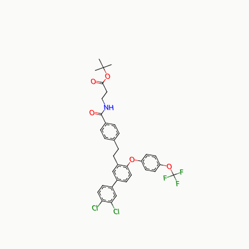 CC(C)(C)OC(=O)CCNC(=O)c1ccc(CCc2cc(-c3ccc(Cl)c(Cl)c3)ccc2Oc2ccc(OC(F)(F)F)cc2)cc1